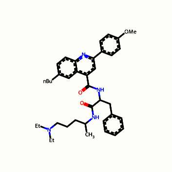 CCCCc1ccc2nc(-c3ccc(OC)cc3)cc(C(=O)NC(Cc3ccccc3)C(=O)NC(C)CCCN(CC)CC)c2c1